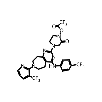 O=C1CN(c2nc3c(c(Nc4ccc(C(F)(F)F)cc4)n2)CCN(c2ncccc2C(F)(F)F)CC3)CCN1OC(=O)C(F)(F)F